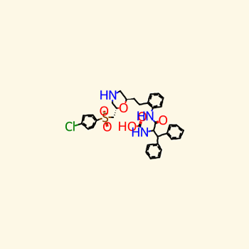 O=C(O)NC(C(=O)Nc1ccccc1CC[C@@H]1CNC[C@@H](CS(=O)(=O)c2ccc(Cl)cc2)O1)C(c1ccccc1)c1ccccc1